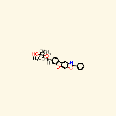 CC(C)(O)C(C)(C)OBc1ccc2c(c1)oc1cc3oc(-c4ccccc4)nc3cc12